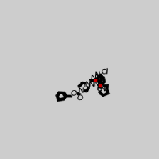 Nc1nnc(Cl)cc1N1CC2CCC(C1)N2c1cccc(CN2CCN(C(=O)OCc3ccccc3)CC2)n1